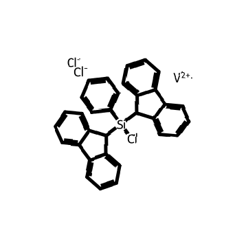 Cl[Si](c1ccccc1)(C1c2ccccc2-c2ccccc21)C1c2ccccc2-c2ccccc21.[Cl-].[Cl-].[V+2]